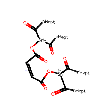 CCCCCCC[C](=O)[SnH]([O]C(=O)/C=C\C(=O)[O][SnH]([C](=O)CCCCCCC)[C](=O)CCCCCCC)[C](=O)CCCCCCC